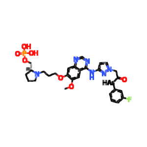 COc1cc2c(Nc3ccn(CC(=O)[AsH]c4cccc(F)c4)n3)ncnc2cc1OCCCN1CCC[C@@H]1COP(=O)(O)O